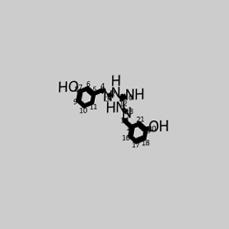 N=C(N/N=C/C1=CC(O)=CCC1)N/N=C/c1cccc(O)c1